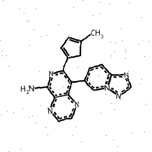 CC1=CC=C(c2nc(N)c3nccnc3c2-c2ccc3ncnn3c2)C1